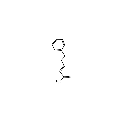 CC(=O)/C=C/CCc1ccccc1